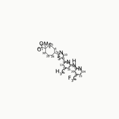 COC(=O)C1CCCC(c2ncc(-c3cc(C)cc(Nc4cc(C(F)(F)F)ccn4)n3)s2)CCC1